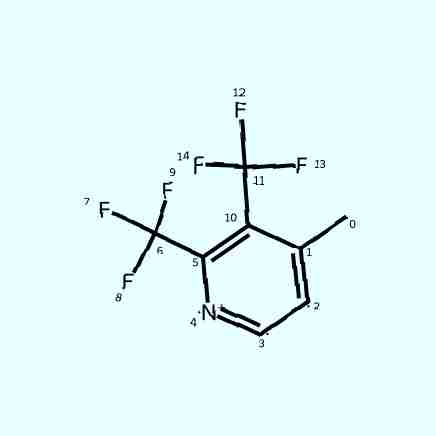 CC1=[C][C]=[N+]C(C(F)(F)F)=C1C(F)(F)F